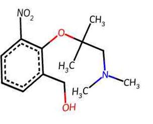 CN(C)CC(C)(C)Oc1c(CO)cccc1[N+](=O)[O-]